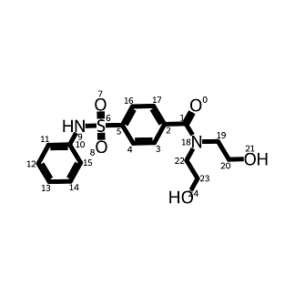 O=C(c1ccc(S(=O)(=O)Nc2ccccc2)cc1)N(CCO)CCO